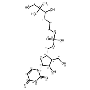 CC(C)(CO)C(O)SCCOP(=O)(O)OC[C@H]1O[C@@H](n2ccc(=O)[nH]c2=O)[C@H](O)[C@@H]1CO